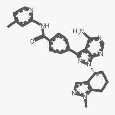 Cc1ccnc(NC(=O)c2ccc(-c3nn([C@@H]4CCCc5c4cnn5C)c4ncnc(N)c34)cc2)c1